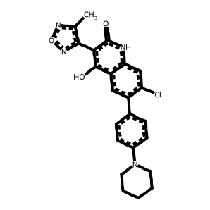 Cc1nonc1-c1c(O)c2cc(-c3ccc(N4CCCCC4)cc3)c(Cl)cc2[nH]c1=O